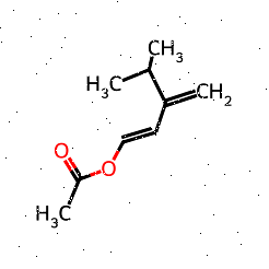 C=C(C=COC(C)=O)C(C)C